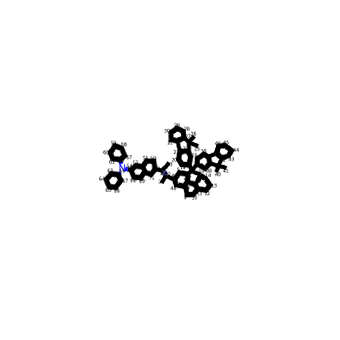 C/C(=C(/C)c1cc2c3c(ccc4cccc(c43)C2(c2ccc3c(c2)C(C)(C)c2ccccc2-3)c2ccc3c(c2)C(C)(C)c2ccccc2-3)c1)c1ccc2cc(N(c3ccccc3)c3ccccc3)ccc2c1